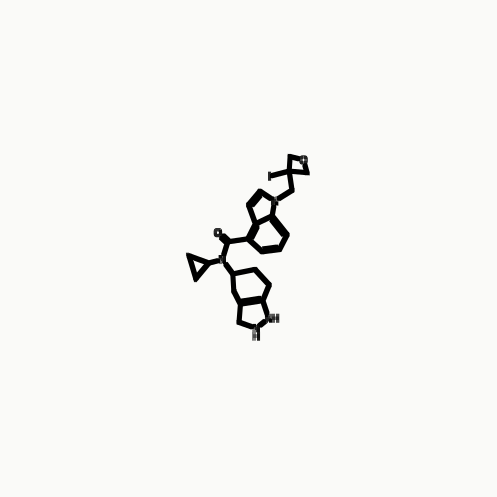 O=C(c1cccc2c1ccn2CC1(I)COC1)N(C1CC1)C1CCC2=C(CNN2)C1